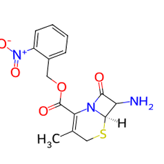 CC1=C(C(=O)OCc2ccccc2[N+](=O)[O-])N2C(=O)C(N)[C@H]2SC1